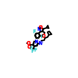 COC(=O)c1cnc(/N=C/CC(CC2CCC2)OCc2c(-c3c(F)cccc3F)noc2C2CC2)cc1C(F)(F)F